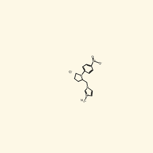 C[n+]1ccn(CC2CCCN2c2ccc([N+](=O)[O-])cc2)c1.[Cl-]